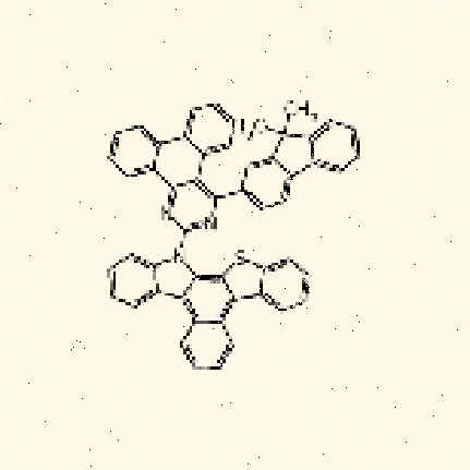 CC1(C)c2ccccc2-c2ccc(-c3nc(-n4c5ccccc5c5c6ccccc6c6c7ccccc7sc6c54)nc4c5ccccc5c5ccccc5c34)cc21